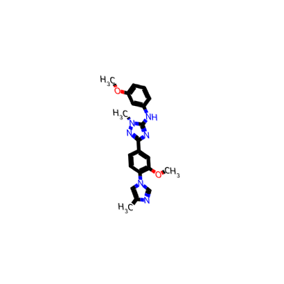 COc1cccc(Nc2nc(-c3ccc(-n4cnc(C)c4)c(OC)c3)nn2C)c1